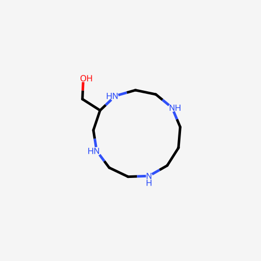 OCC1CNCCNCCCNCCN1